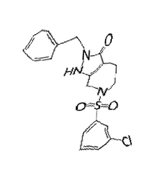 O=c1c2c([nH]n1Cc1ccccc1)CN(S(=O)(=O)c1cccc(Cl)c1)CC2